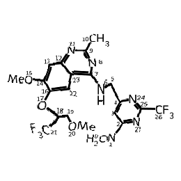 C=Nc1cc(CNc2nc(C)nc3cc(OC)c(OC(COC)C(F)(F)F)cc23)nc(C(F)(F)F)n1